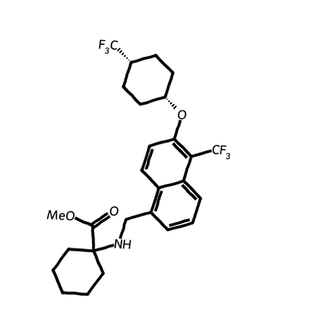 COC(=O)C1(NCc2cccc3c(C(F)(F)F)c(O[C@H]4CC[C@@H](C(F)(F)F)CC4)ccc23)CCCCC1